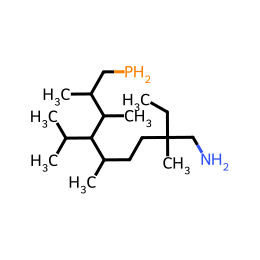 CCC(C)(CN)CCC(C)C(C(C)C)C(C)C(C)CP